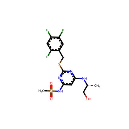 C[C@H](CO)Nc1cc(NS(C)(=O)=O)nc(SCc2cc(F)c(F)cc2F)n1